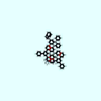 CC(C)(C)c1cc2c3c(c1)N(c1c(-c4ccccc4)cc(-c4ccccc4)cc1-c1ccccc1)c1cc4c(cc1B3c1ccccc1N2c1c(-c2ccccc2)cc(-c2ccccc2)cc1-c1ccccc1)B1c2ccccc2N(c2ccccc2)c2cc(N3C5CC6CC(C5)CC3C6)cc(c21)O4